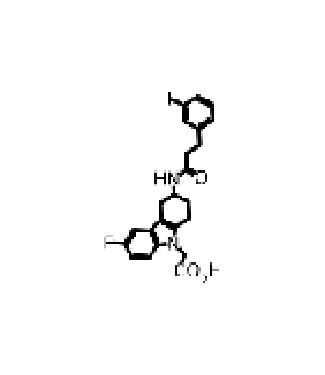 O=C(O)Cn1c2c(c3cc(F)ccc31)CC(NC(=O)CCc1cccc(I)c1)CC2